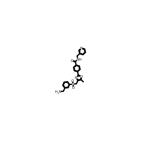 Cc1oc(-c2ccc(C(=O)NCc3cccnc3)cc2)nc1CS(=O)(=O)c1cccc(CN)c1